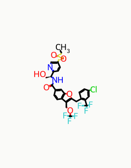 CCS(=O)(=O)c1ccc([C@H](CO)NC(=O)c2ccc3c(COC(F)(F)F)c(Cc4ccc(Cl)cc4C(F)(F)F)oc3c2)nc1